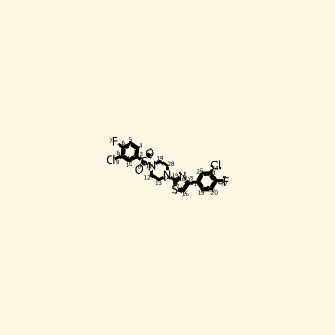 O=S(=O)(c1ccc(F)c(Cl)c1)N1CCN(c2nc(-c3ccc(F)c(Cl)c3)cs2)CC1